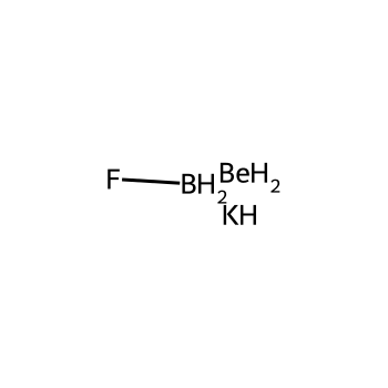 BF.[BeH2].[KH]